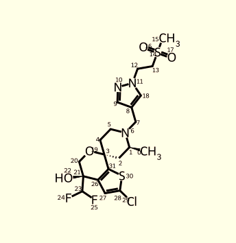 C[C@H]1C[C@@]2(CCN1Cc1cnn(CCS(C)(=O)=O)c1)OC[C@@](O)(C(F)F)c1cc(Cl)sc12